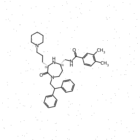 Cc1ccc(C(=O)NC[C@@H]2CCN(CC(c3ccccc3)c3ccccc3)C(=O)[C@H](CCCN3CCCCC3)N2)cc1C